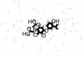 CC(C)c1cc(Oc2ccc(N(CC(=O)O)CC(=O)O)c(Cl)c2Cl)ccc1O